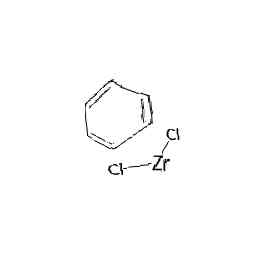 [Cl][Zr][Cl].c1ccccc1